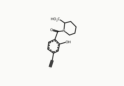 [C]#Cc1ccc(C(=O)N2CCCCC2C(=O)O)c(O)c1